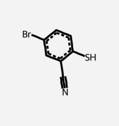 N#Cc1cc(Br)ccc1S